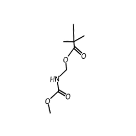 COC(=O)NCOC(=O)C(C)(C)C